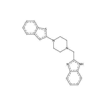 c1ccc2sc(N3CCN(Cc4nc5ccccc5[nH]4)CC3)cc2c1